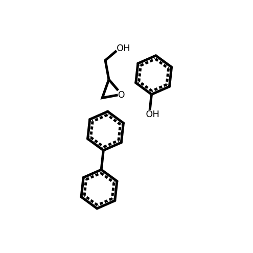 OCC1CO1.Oc1ccccc1.c1ccc(-c2ccccc2)cc1